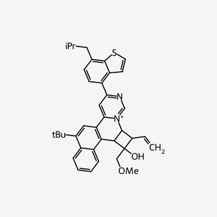 C=CC1C2C(c3c(cc(C(C)(C)C)c4ccccc34)-c3cc(-c4ccc(CC(C)C)c5sccc45)nc[n+]32)C1(O)COC